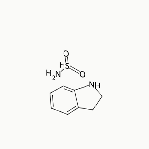 N[SH](=O)=O.c1ccc2c(c1)CCN2